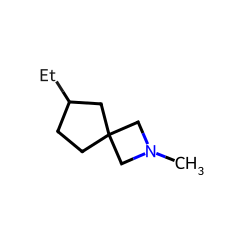 CCC1CCC2(C1)CN(C)C2